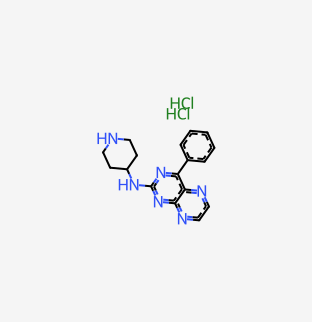 Cl.Cl.c1ccc(-c2nc(NC3CCNCC3)nc3nccnc23)cc1